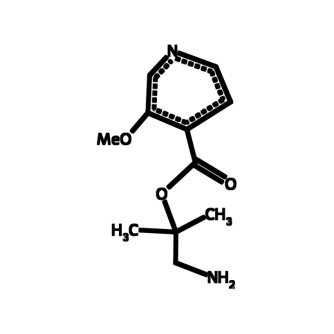 COc1cnccc1C(=O)OC(C)(C)CN